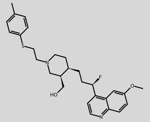 COc1ccc2nccc([C@H](F)CC[C@@H]3CCN(CCSc4ccc(C)cc4)C[C@@H]3CO)c2c1